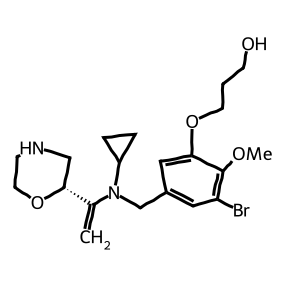 C=C([C@H]1CNCCO1)N(Cc1cc(Br)c(OC)c(OCCCO)c1)C1CC1